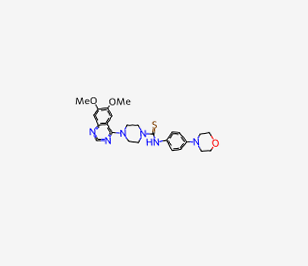 COc1cc2ncnc(N3CCN(C(=S)Nc4ccc(N5CCOCC5)cc4)CC3)c2cc1OC